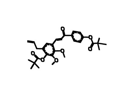 C=CCc1cc(C=CC(=O)c2ccc(OC(=O)C(C)(C)C)cc2)c(OC)c(OC)c1OC(=O)C(C)(C)C